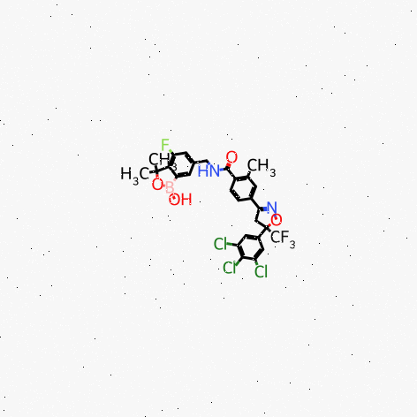 Cc1cc(C2=NOC(c3cc(Cl)c(Cl)c(Cl)c3)(C(F)(F)F)C2)ccc1C(=O)NCc1cc(F)c2c(c1)B(O)OC2(C)C